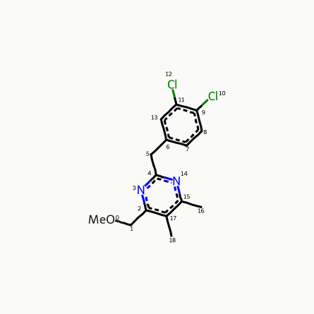 COCc1nc(Cc2ccc(Cl)c(Cl)c2)nc(C)c1C